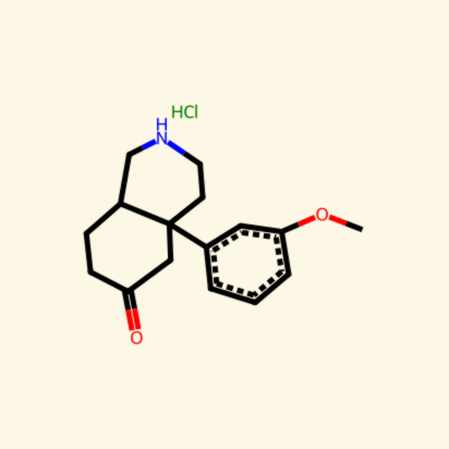 COc1cccc(C23CCNCC2CCC(=O)C3)c1.Cl